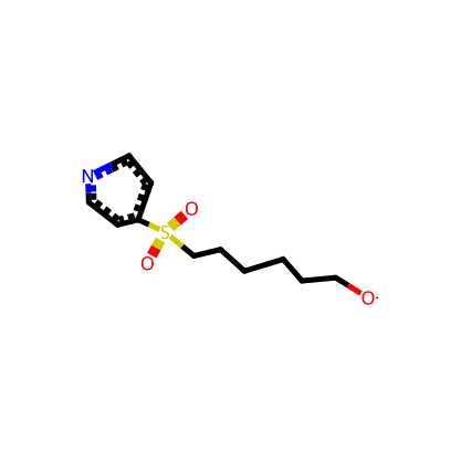 [O]CCCCCCS(=O)(=O)c1ccncc1